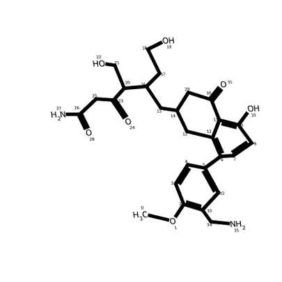 COc1ccc(-c2ccc(O)c3c2CC(CC(CCO)C(CO)C(=O)CC(N)=O)CC3=O)cc1CN